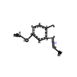 CCCCOc1ccc(C)c(/C=C/Br)c1